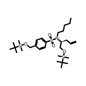 C=CC[C@@H](CO[Si](C)(C)C(C)(C)C)N(CCCCC)S(=O)(=O)c1ccc(CO[Si](C)(C)C(C)(C)C)cc1